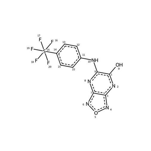 Oc1nc2nonc2nc1Nc1ccc(S(F)(F)(F)(F)F)cc1